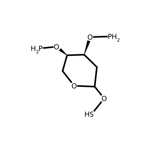 PO[C@H]1CC(OS)OC[C@H]1OP